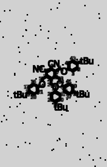 CC(C)(C)c1ccc(OCc2c(C#N)c(C#N)c(COc3ccc(C(C)(C)C)cc3)c(COc3ccc(C(C)(C)C)cc3)c2COc2ccc(C(C)(C)C)cc2)cc1